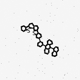 c1cc(-c2ccc3c(c2)sc2c3ccc3ccc4c5ccccc5sc4c32)cc(-c2c3ccccc3c(-c3cccc4ccccc34)c3ccccc23)c1